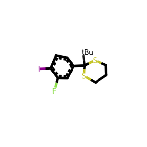 CC(C)(C)C1(c2ccc(I)c(F)c2)SCCCS1